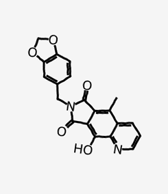 Cc1c2c(c(O)c3ncccc13)C(=O)N(Cc1ccc3c(c1)OCO3)C2=O